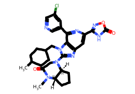 CC1CCC(Cn2c(N3CC(=O)N(C)[C@H]4CCC[C@@H]43)nc3cc(-c4noc(=O)[nH]4)nc(-c4cncc(Cl)c4)c32)CC1